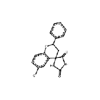 O=C1NC(=O)C2(CC(c3ccccc3)Oc3ccc(Cl)cc32)N1